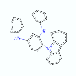 c1ccc(Nc2ccc(-n3c4ccccc4c4ccccc43)c(Nc3ccccc3)c2)cc1